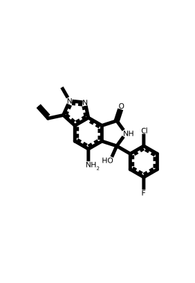 C=Cc1c2cc(N)c3c(c2nn1C)C(=O)NC3(O)c1cc(F)ccc1Cl